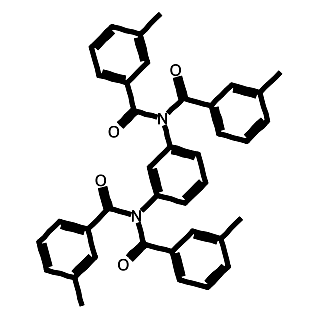 Cc1cccc(C(=O)N(C(=O)c2cccc(C)c2)c2cccc(N(C(=O)c3cccc(C)c3)C(=O)c3cccc(C)c3)c2)c1